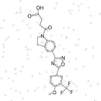 COc1ccc(-c2nc(-c3ccc4c(c3)CCN4C(=O)CCC(=O)O)no2)cc1C(F)(F)F